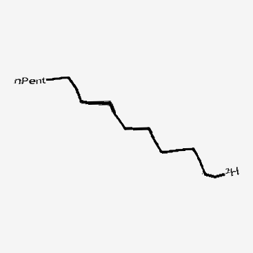 [2H][CH]CCCCCCCCCCCC